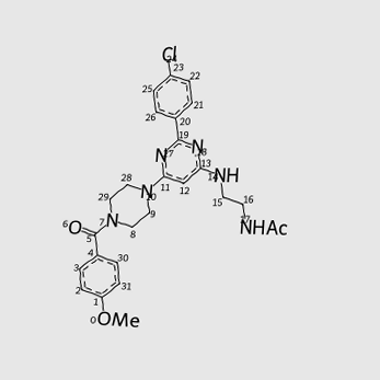 COc1ccc(C(=O)N2CCN(c3cc(NCCNC(C)=O)nc(-c4ccc(Cl)cc4)n3)CC2)cc1